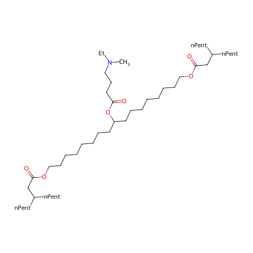 CCCCCC(CCCCC)CC(=O)OCCCCCCCCC(CCCCCCCCOC(=O)CC(CCCCC)CCCCC)OC(=O)CCCN(C)CC